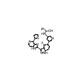 CC(C)C(O)Nc1cncc(-c2ccc3[nH]nc(-c4nc5c(-c6cccs6)nccc5[nH]4)c3c2F)c1